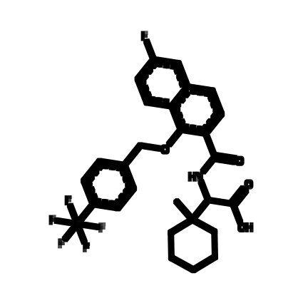 CC1(C(NC(=O)c2ccc3cc(F)ccc3c2OCc2ccc(S(F)(F)(F)(F)F)cc2)C(=O)O)CCCCC1